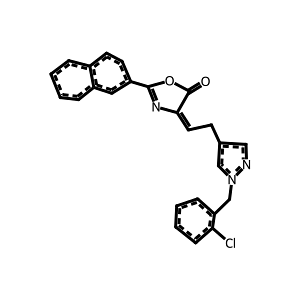 O=C1OC(c2ccc3ccccc3c2)=N/C1=C/Cc1cnn(Cc2ccccc2Cl)c1